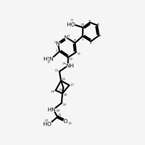 Nc1nnc(-c2ccccc2O)cc1NCC12CC(CNC(=O)O)(C1)C2